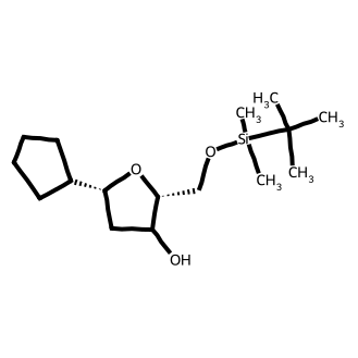 CC(C)(C)[Si](C)(C)OC[C@H]1O[C@@H](C2CCCC2)CC1O